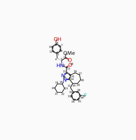 COC(=O)[C@@H](Cc1ccc(O)cc1)NC(=O)c1nn(C2CCCCC2)c2c1CCCCC2Cc1cccc(F)c1